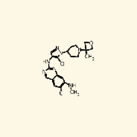 CNc1cc2nc(Nc3cnn(C4CCN(C5(C)COC5)CC4)c3Cl)ncc2cc1Cl